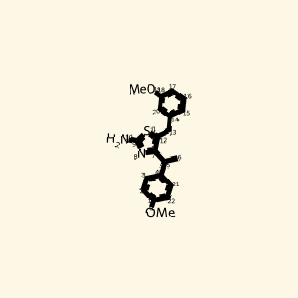 COc1ccc(C(C)c2nc(N)sc2Cc2cccc(OC)c2)cc1